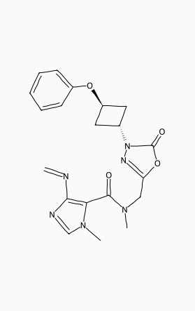 C=Nc1ncn(C)c1C(=O)N(C)Cc1nn([C@H]2C[C@H](Oc3ccccc3)C2)c(=O)o1